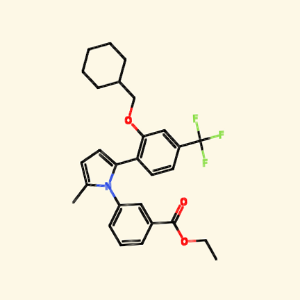 CCOC(=O)c1cccc(-n2c(C)ccc2-c2ccc(C(F)(F)F)cc2OCC2CCCCC2)c1